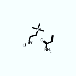 C=CC(N)=O.CC(C)CC[N+](C)(C)C.[Cl-]